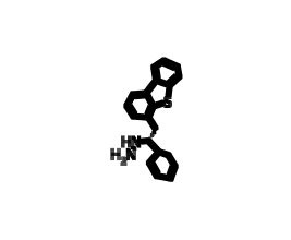 NN[C@H](Cc1cccc2c1sc1ccccc12)C1C=CC=CC1